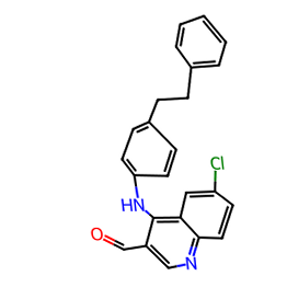 O=Cc1cnc2ccc(Cl)cc2c1Nc1ccc(CCc2ccccc2)cc1